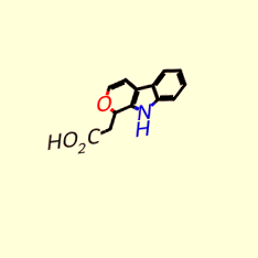 O=C(O)CC1OC=Cc2c1[nH]c1ccccc21